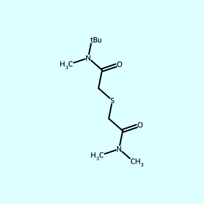 CN(C)C(=O)CSCC(=O)N(C)C(C)(C)C